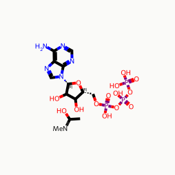 CNC(C)O.Nc1ncnc2c1ncn2[C@@H]1O[C@H](COP(=O)(O)OP(=O)(O)OP(=O)(O)O)C(O)C1O